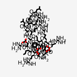 CC[C@H](C)[C@H](NC(=O)[C@H](Cc1ccccc1)NC(=O)[C@H](CCCNC(=N)N)NC(=O)[C@@H](NC(=O)[C@@H](NC(=O)[C@H](CCCNC(=N)N)NC(=O)[C@H](CCCNC(=N)N)NC(=O)[C@H](C)NC(=O)[C@@H](NC(=O)[C@H](CCCNC(=N)N)NC(=O)[C@H](C)NC(=O)[C@@H](N)CC(C)C)C(C)C)C(C)C)[C@@H](C)CC)C(=O)N[C@@H](CCCNC(=N)N)C(=O)N[C@@H](CCCNC(=N)N)C(=O)N[C@@H](C)C(=O)N[C@@H](Cc1c[nH]c2ccccc12)C(N)=O